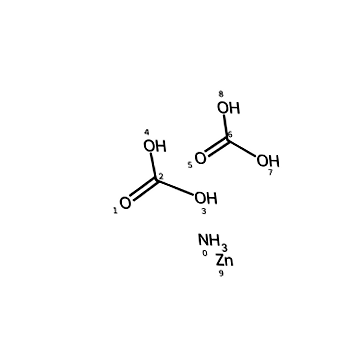 N.O=C(O)O.O=C(O)O.[Zn]